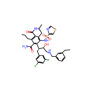 CCCc1c(NS(=O)(=O)c2cscn2)c([C@H](Cc2cc(F)cc(F)c2)[C@@H](O)CNCc2cccc(CC)c2)c(C(N)=O)c(CCC)c1C(N)=O